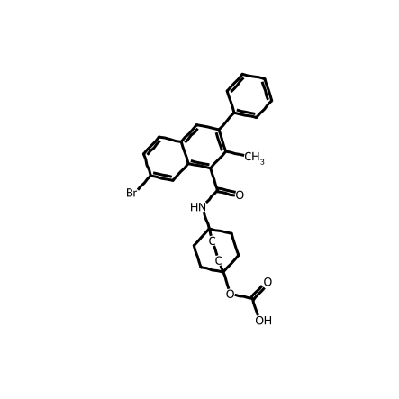 Cc1c(-c2ccccc2)cc2ccc(Br)cc2c1C(=O)NC12CCC(OC(=O)O)(CC1)CC2